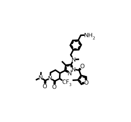 Cc1cocc1C(=O)n1nc(C2CCN(C(=O)N(C)C)C(=O)C2C(F)(F)F)c(C)c1N(C)Cc1ccc(CN)cc1